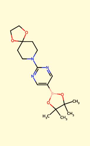 CC1(C)OB(c2cnc(N3CCC4(CC3)OCCO4)nc2)OC1(C)C